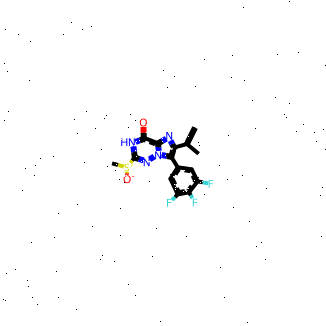 C=C(C)c1nc2c(=O)[nH]c([S+](C)[O-])nn2c1-c1cc(F)c(F)c(F)c1